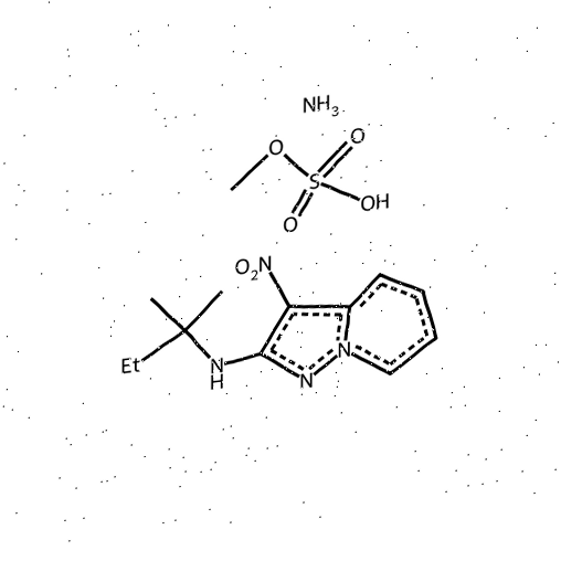 CCC(C)(C)Nc1nn2ccccc2c1[N+](=O)[O-].COS(=O)(=O)O.N